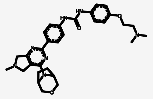 CN(C)CCOc1ccc(NC(=O)Nc2ccc(-c3nc4c(c(N5C6CCC5COC6)n3)CN(C)C4)cc2)cc1